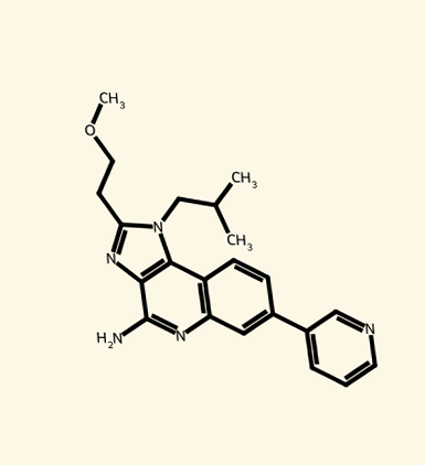 COCCc1nc2c(N)nc3cc(-c4cccnc4)ccc3c2n1CC(C)C